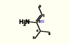 C/C=C(\N)C(C)C